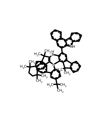 CC(C)(C)c1ccc(N2C3=C(Bc4c(-c5cc6ccccc6c6c5[nH]c5ccccc56)cc5c(c42)C(C)(C)c2ccccc2-5)C(C)(C)c2cc4c(cc23)C(C)(C)CCC4(C)C)c(-c2ccccc2)c1